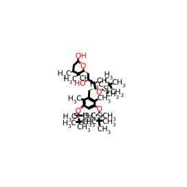 Cc1c(O[Si](C)(C)C(C)(C)C)cc(O[Si](C)(C)C(C)(C)C)c(C)c1C[C@@H](O[Si](C)(C)C(C)(C)C)[C@H](C)[C@@H](O)C[C@H]1OC(O)C[C@@H](C)C1(C)C